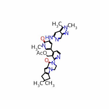 CC(=O)OCc1c(-c2cc(Nc3cc4c(C)n(C)nc4cn3)c(=O)n(C)c2)ccnc1N1CCn2c(cc3c2CC(C)(C)C3)C1=O